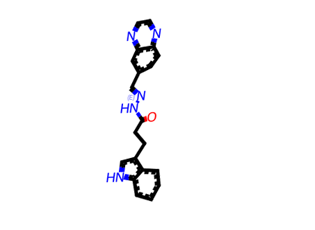 O=C(CCc1c[nH]c2ccccc12)N/N=C/c1ccc2nccnc2c1